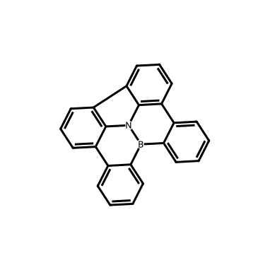 c1ccc2c(c1)B1c3ccccc3-c3cccc4c5cccc-2c5n1c34